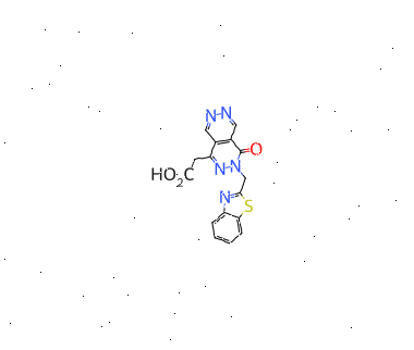 O=C(O)Cc1nn(Cc2nc3ccccc3s2)c(=O)c2cnncc12